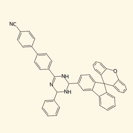 N#Cc1ccc(-c2ccc(C3=NC(c4ccccc4)NC(c4ccc5c(c4)-c4ccccc4C54c5ccccc5Oc5ccccc54)N3)cc2)cc1